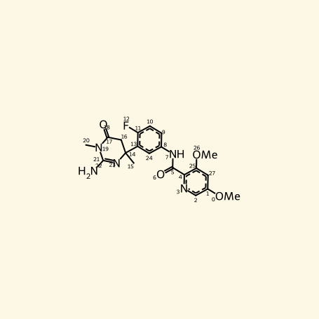 COc1cnc(C(=O)Nc2ccc(F)c(C3(C)CC(=O)N(C)C(N)=N3)c2)c(OC)c1